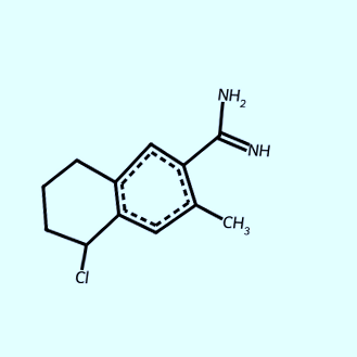 Cc1cc2c(cc1C(=N)N)CCCC2Cl